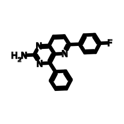 Nc1nc(-c2ccccc2)c2nc(-c3ccc(F)cc3)ccc2n1